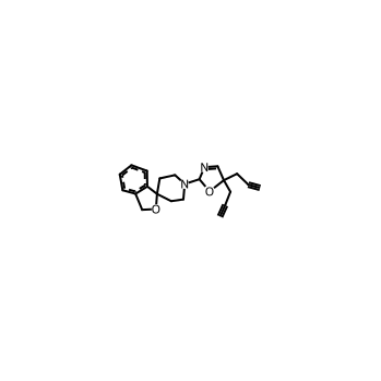 C#CCC1(CC#C)C=NC(N2CCC3(CC2)OCc2ccccc23)O1